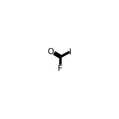 O=C(F)I